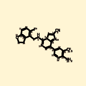 N#Cc1cn2c(NCc3c(F)ccc4c3CCO4)ncc(-c3cnc(N)c(C(F)(F)F)c3)c2n1